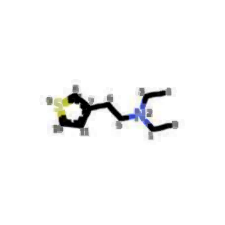 CCN(CC)CCc1[c]scc1